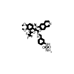 COc1ccc(C(OC(=O)C(F)(F)F)(C(=O)NCc2cccc(NS(N)(=O)=O)c2)N(N)c2ccc3cnccc3c2)cc1OC